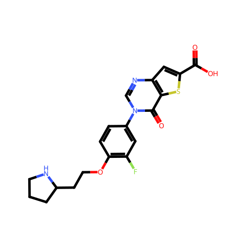 O=C(O)c1cc2ncn(-c3ccc(OCCC4CCCN4)c(F)c3)c(=O)c2s1